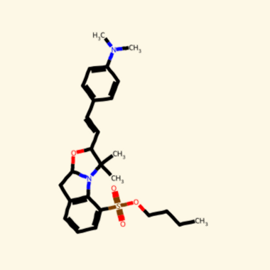 CCCCOS(=O)(=O)c1cccc2c1N1C(C2)OC(C=Cc2ccc(N(C)C)cc2)C1(C)C